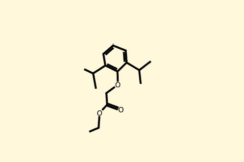 CCOC(=O)COc1c(C(C)C)c[c]cc1C(C)C